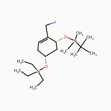 CC[Si](CC)(CC)O[C@@H]1CC=C(CI)[C@H](O[Si](C)(C)C(C)(C)C)C1